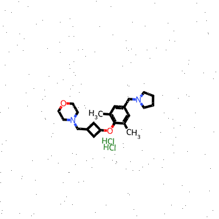 Cc1cc(CN2CCCC2)cc(C)c1OC1CC(CN2CCOCC2)C1.Cl.Cl